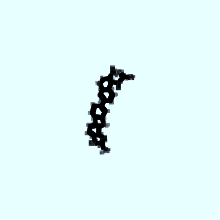 C=C(NC1=C(C)COc2cc(-c3ccc4c(c3)sc3c4ccc4[nH]c(C(C)C)nc43)ccc21)C(C)C